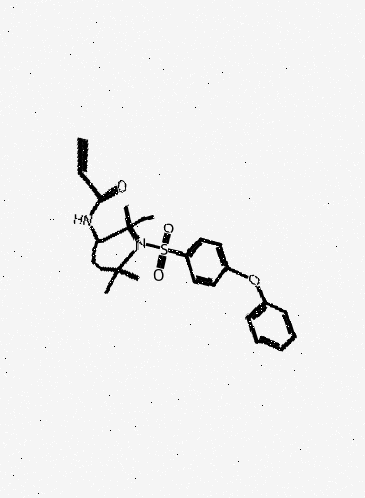 C=CC(=O)NC1CC(C)(C)N(S(=O)(=O)c2ccc(Oc3ccccc3)cc2)C1(C)C